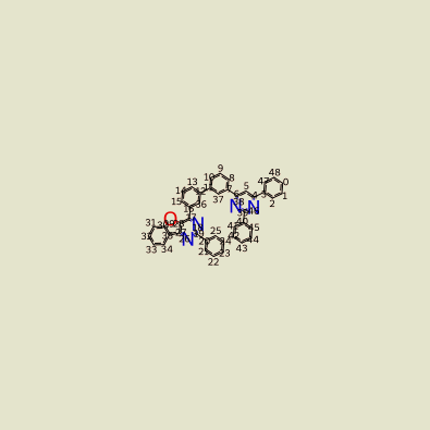 c1ccc(-c2cc(-c3cccc(-c4cccc(-c5nc(-c6ccccc6)nc6c5oc5ccccc56)c4)c3)nc(-c3ccccc3)n2)cc1